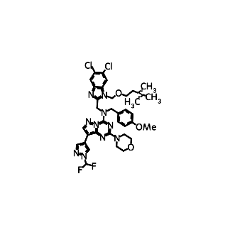 COc1ccc(CN(Cc2nc3cc(Cl)c(Cl)cc3n2COCCS(C)(C)C)c2nc(N3CCOCC3)nc3c(-c4cnn(C(F)F)c4)cnn23)cc1